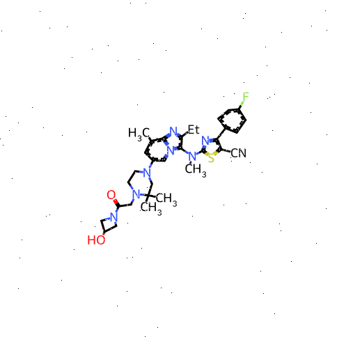 CCc1nc2c(C)cc(N3CCN(CC(=O)N4CC(O)C4)C(C)(C)C3)cn2c1N(C)c1nc(-c2ccc(F)cc2)c(C#N)s1